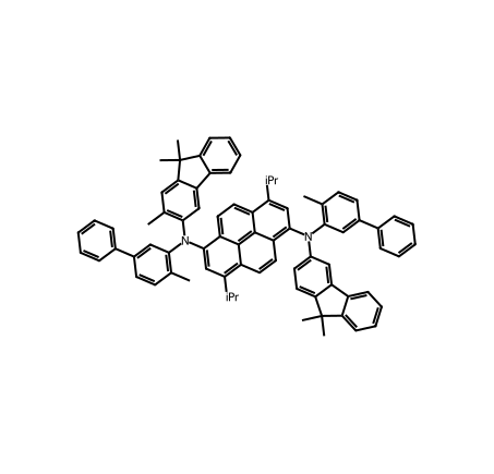 Cc1ccc(-c2ccccc2)cc1N(c1ccc2c(c1)-c1ccccc1C2(C)C)c1cc(C(C)C)c2ccc3c(N(c4cc(-c5ccccc5)ccc4C)c4cc5c(cc4C)C(C)(C)c4ccccc4-5)cc(C(C)C)c4ccc1c2c43